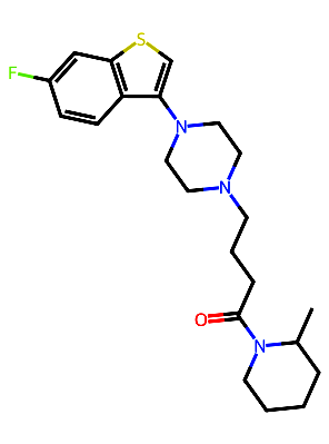 CC1CCCCN1C(=O)CCCN1CCN(c2csc3cc(F)ccc23)CC1